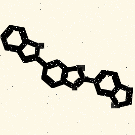 c1ccc2[nH]c(-c3ccc4n[n+](-c5ccc6nc[nH]c6c5)[nH]c4c3)cc2c1